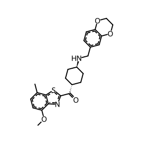 COc1ccc(C)c2sc(C(=O)[C@H]3CC[C@H](NCc4ccc5c(c4)OCCO5)CC3)nc12